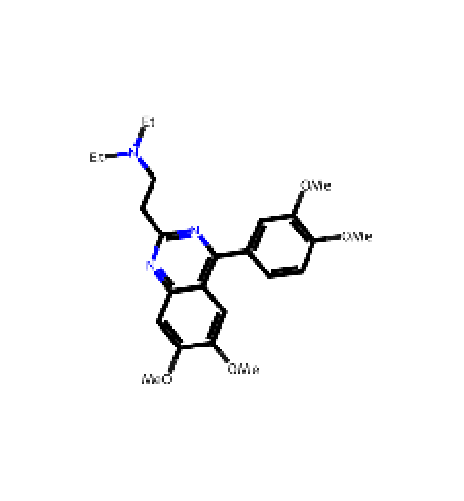 CCN(CC)CCc1nc(-c2ccc(OC)c(OC)c2)c2cc(OC)c(OC)cc2n1